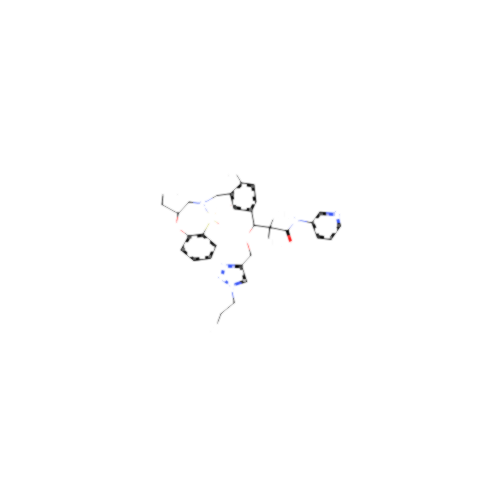 CCCn1cc(COC(c2ccc(C)c(CN3CC(CC)Oc4ccccc4S3(O)O)c2)C(C)(C)C(=O)Nc2cccnc2)nn1